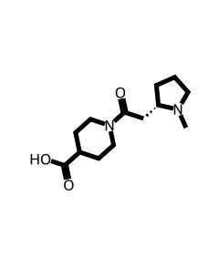 CN1CCC[C@H]1CC(=O)N1CCC(C(=O)O)CC1